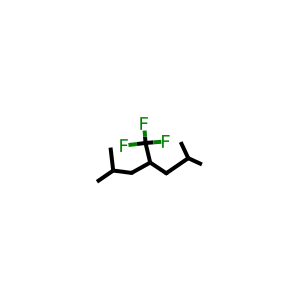 CC(C)CC(CC(C)C)C(F)(F)F